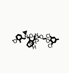 COc1cccc(CN(C(=O)C2=C(c3cnc(OCCOc4c(Cl)cc(C)cc4Cl)s3)C[C@@H]3CCC2N3)C2CC2)c1C